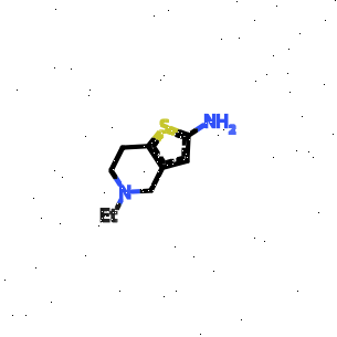 CCN1CCc2sc(N)cc2C1